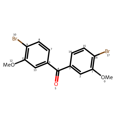 COc1cc(C(=O)c2ccc(Br)c(OC)c2)ccc1Br